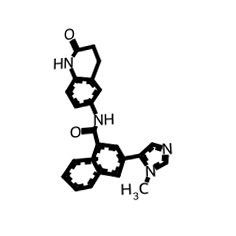 Cn1cncc1-c1cc(C(=O)Nc2ccc3c(c2)CCC(=O)N3)c2ccccc2c1